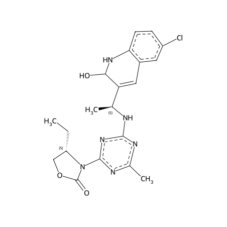 CC[C@H]1COC(=O)N1c1nc(C)nc(N[C@@H](C)C2=Cc3cc(Cl)ccc3NC2O)n1